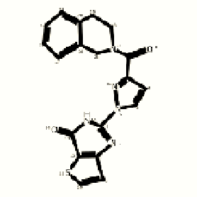 O=C(c1ccn(-c2nc3ccsc3c(=O)[nH]2)n1)N1CCc2ccccc2C1